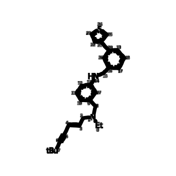 CCN(CC=CC#CC(C)(C)C)Cc1cccc(NCc2cccc(-c3ccsc3)c2)c1